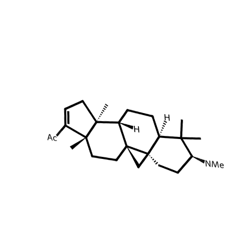 CN[C@H]1CC[C@]23C[C@]24CC[C@]2(C)C(C(C)=O)=CC[C@@]2(C)[C@@H]4CC[C@H]3C1(C)C